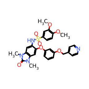 COc1ccc(S(=O)(=O)Nc2cc3c(cc2Oc2cccc(OCc4ccncc4)c2)n(C)c(=O)n3C)cc1OC